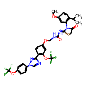 COc1ccc(C(C)C)c(N2C(=O)CS/C2=N\C(=O)NCOc2ccc(-c3ncn(-c4ccc(OC(F)(F)F)cc4)n3)c(OC(F)(F)F)c2)c1